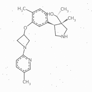 Cc1ccc(N2CC(Oc3cc([C@@H]4CNC[C@@]4(C)[C@@H](C)O)ccc3C)C2)nc1